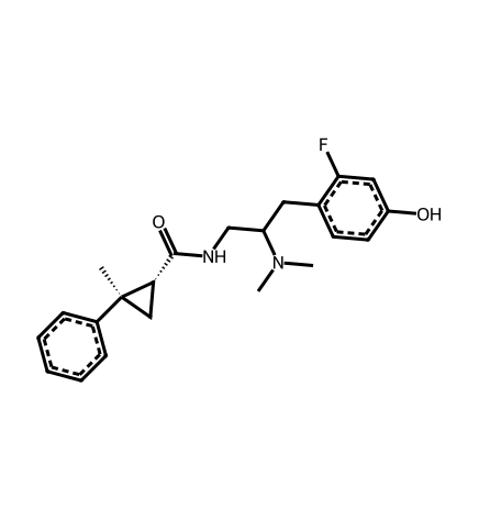 CN(C)C(CNC(=O)[C@@H]1C[C@@]1(C)c1ccccc1)Cc1ccc(O)cc1F